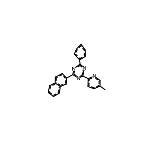 Cc1ccc(-c2nc(-c3ccccc3)nc(-c3ccc4ccccc4c3)n2)nc1